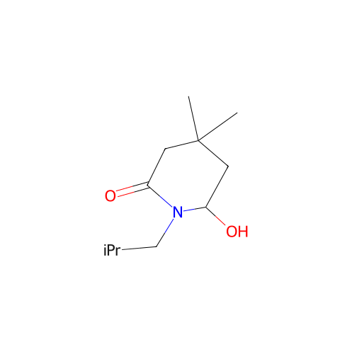 CC(C)CN1C(=O)CC(C)(C)CC1O